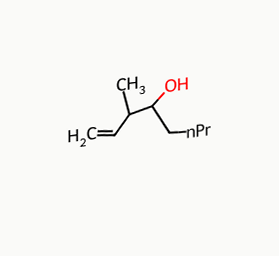 C=CC(C)C(O)CCCC